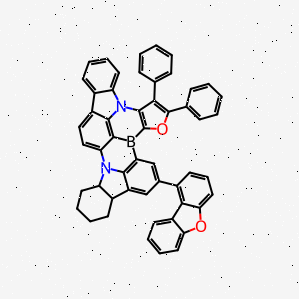 c1ccc(-c2oc3c(c2-c2ccccc2)-n2c4ccccc4c4ccc5c(c42)B3c2cc(-c3cccc4oc6ccccc6c34)cc3c2N5C2CCCCC32)cc1